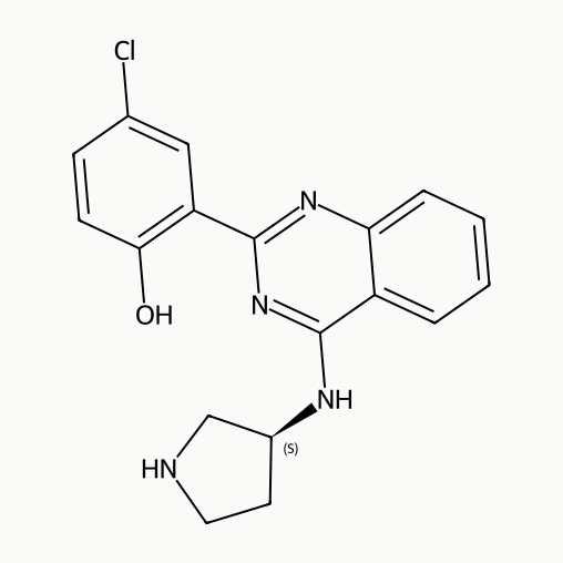 Oc1ccc(Cl)cc1-c1nc(N[C@H]2CCNC2)c2ccccc2n1